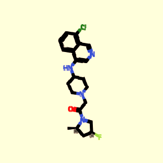 C[C@@H]1C[C@H](F)CN1C(=O)CN1CCC(Nc2cncc3c(Cl)cccc23)CC1